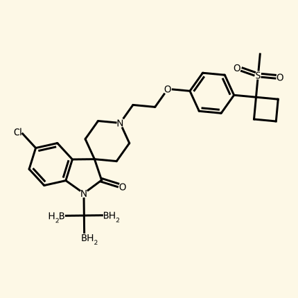 BC(B)(B)N1C(=O)C2(CCN(CCOc3ccc(C4(S(C)(=O)=O)CCC4)cc3)CC2)c2cc(Cl)ccc21